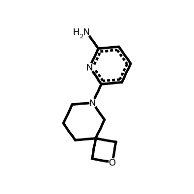 Nc1cccc(N2CCCC3(COC3)C2)n1